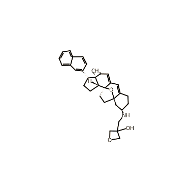 C[C@]12CC=C3C=C4CC[C@@H](NCC5(O)COC5)C[C@]45CC[C@]3(O5)[C@@H]1CC[C@@H]2c1ccc2ccccc2c1